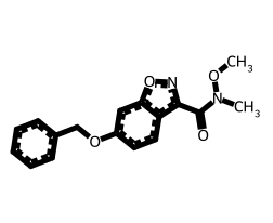 CON(C)C(=O)c1noc2cc(OCc3ccccc3)ccc12